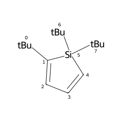 CC(C)(C)C1=CC=C[Si]1(C(C)(C)C)C(C)(C)C